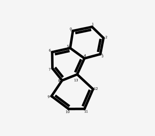 [c]1cc[c]c2c1ccc1ccc[c]c12